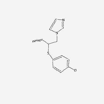 CCCCCCCC(Cn1ccnc1)Sc1ccc(Cl)cc1